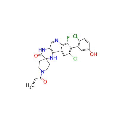 C=CC(=O)N1CCC2(CC1)Nc1c(cnc3c(F)c(-c4cc(O)ccc4Cl)c(Cl)cc13)NC2=O